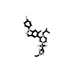 CCn1ncc(S(=O)(=O)N2CCN(CC(C)C)C(c3cc4cnn(-c5ccc(F)cc5)c4cc3C)C2)n1